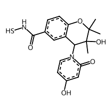 CC1(C)Oc2ccc(C(=O)NS)cc2C(n2ccc(O)cc2=O)C1(C)O